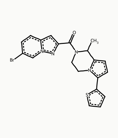 CC1c2ccc(-c3cccs3)n2CCN1C(=O)c1cc2ccc(Br)cn2n1